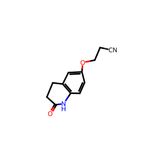 N#CCCOc1ccc2c(c1)CCC(=O)N2